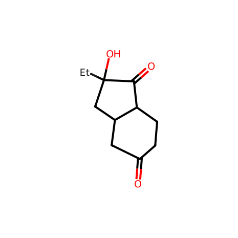 CCC1(O)CC2CC(=O)CCC2C1=O